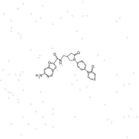 Nc1cc2oc(C(=O)NCC3CC(=O)N(c4ccc(-n5ccccc5=O)cc4)C3)cc2cn1